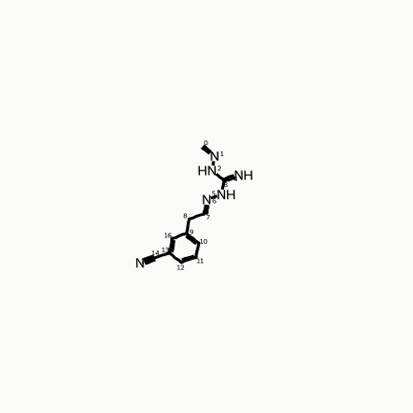 C=NNC(=N)N/N=C/Cc1cccc(C#N)c1